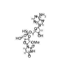 CO[C@H]1C(O[P@@](=O)(S)OC[C@H]2O[C@@H](n3cnc4c(N)ncnc43)C[C@H]2O)[C@@H](CO)O[C@H]1n1ccc(=O)[nH]c1=O